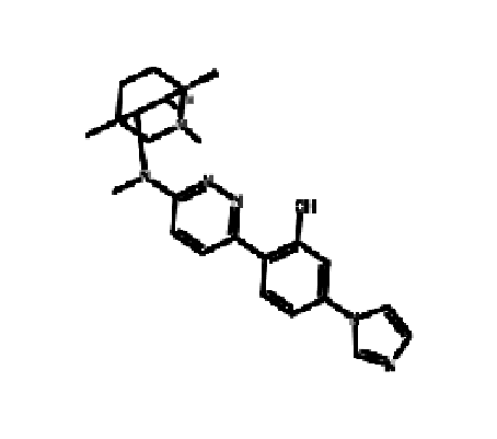 CN(c1ccc(-c2ccc(-n3ccnc3)cc2O)nn1)C1C(F)[C@]2(C)CCC1(C)CN2C